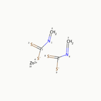 C=NC(=S)[S-].C=NC(=S)[S-].[Zn+2]